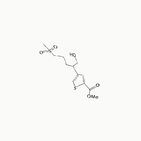 COC(=O)c1cc(C(CO)CCCS(C)(=O)=O)cs1